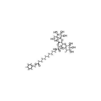 CC1OC(OC2C(O[C@@H]3OC(CO)[C@H](O)C(O)C3O)[C@H](O)OC(C(=O)NCCCCCCCCCCC(=O)OCc3ccccc3)[C@H]2O)C(O)C(O)C1O